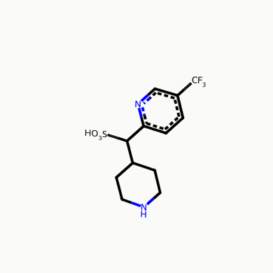 O=S(=O)(O)C(c1ccc(C(F)(F)F)cn1)C1CCNCC1